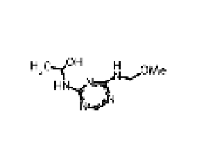 COCNc1ncnc(NC(C)O)n1